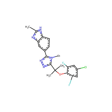 CCn1c(-c2ccc3[nH]c(C)nc3c2)nnc1C(C)(C)Oc1c(F)cc(Cl)cc1F